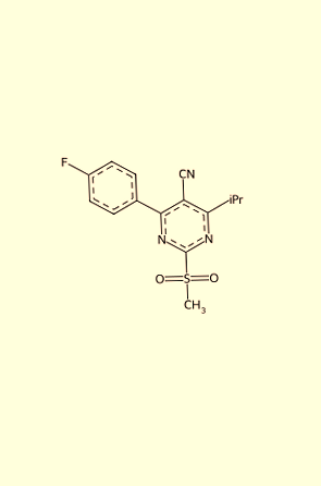 CC(C)c1nc(S(C)(=O)=O)nc(-c2ccc(F)cc2)c1C#N